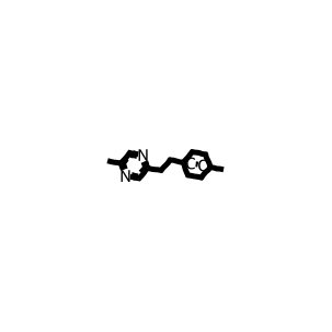 Cc1cnc(CCC23CCC(C)(CC2)CC3)cn1